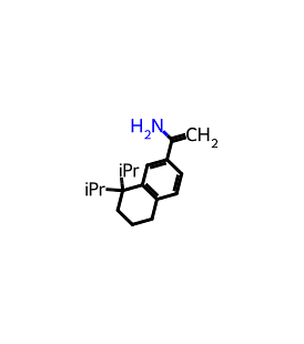 C=C(N)c1ccc2c(c1)C(C(C)C)(C(C)C)CCC2